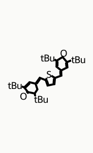 CC(C)(C)C1=CC(=Cc2ccc(/C=C3/C=C(C(C)(C)C)C(=O)C(C(C)(C)C)C3)s2)C=C(C(C)(C)C)C1=O